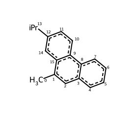 Cc1cc2ccccc2c2ccc(C(C)C)cc12